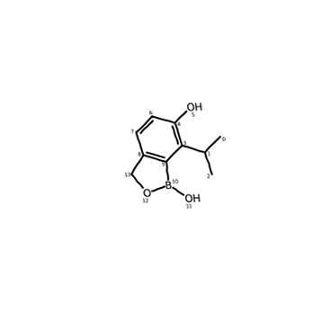 CC(C)c1c(O)ccc2c1B(O)OC2